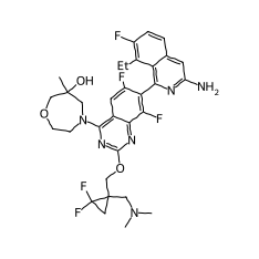 CCc1c(F)ccc2cc(N)nc(-c3c(F)cc4c(N5CCOCC(C)(O)C5)nc(OCC5(CN(C)C)CC5(F)F)nc4c3F)c12